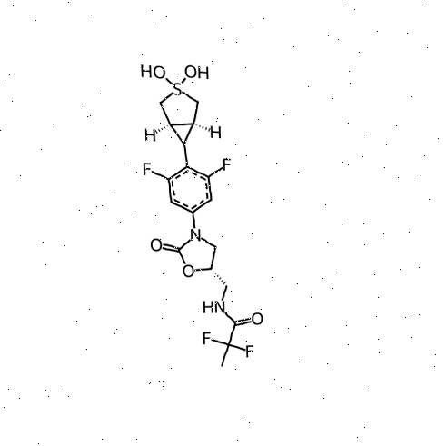 CC(F)(F)C(=O)NC[C@H]1CN(c2cc(F)c(C3[C@H]4CS(O)(O)C[C@@H]34)c(F)c2)C(=O)O1